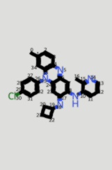 Cc1ccc2nc3cc(Nc4cccnc4C)/c(=N/C4CCC4)cc-3n(-c3ccc(Cl)cc3)c2c1